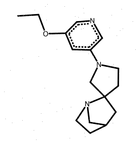 CCOc1cncc(N2CCC3(CC4CCN3C4)C2)c1